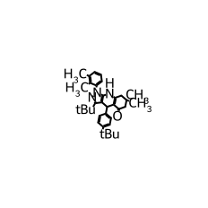 Cc1cccc(-n2nc(C(C)(C)C)c3c2NC2=C(C(=O)CC(C)(C)C2)C3c2ccc(C(C)(C)C)cc2)c1C